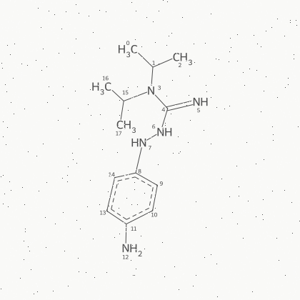 CC(C)N(C(=N)NNc1ccc(N)cc1)C(C)C